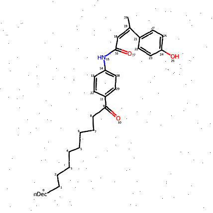 CCCCCCCCCCCCCCCCCCC(=O)c1ccc(NC(=O)C=C(C)c2ccc(O)cc2)cc1